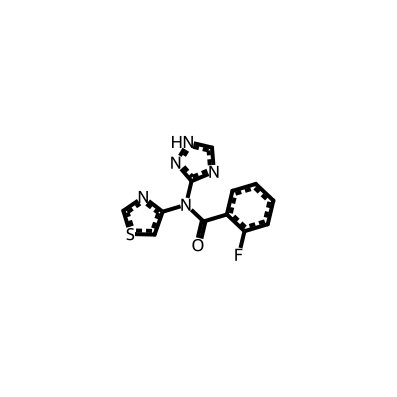 O=C(c1ccccc1F)N(c1cscn1)c1nc[nH]n1